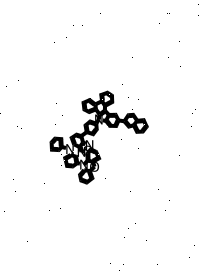 c1ccc(N(c2cccc(N3c4ccccc4Oc4ccccc43)c2)c2ccc(-c3ccc(-n4c5ccc(-c6ccc7ccccc7c6)cc5c5c6ccccc6c6ccccc6c54)cc3)c3nsnc23)cc1